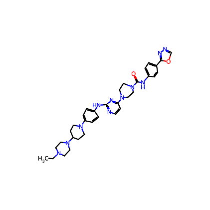 CCN1CCN(C2CCN(c3ccc(Nc4nccc(N5CCN(C(=O)Nc6ccc(-c7nnco7)cc6)CC5)n4)cc3)CC2)CC1